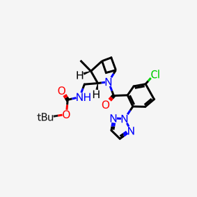 C[C@@H]1C2CC(C2)N(C(=O)c2cc(Cl)ccc2-n2nccn2)[C@@H]1CNC(=O)OC(C)(C)C